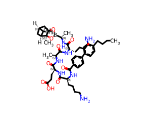 CCCCc1ccc(-c2ccc(C(=O)N[C@@H](CCCCN)C(=O)N[C@@H](CCC(=O)O)C(=O)N[C@@H](C)C(=O)N[C@@H](CCCCN)C(=O)N[C@@H](C)B3OC4C[C@@H]5C[C@@H](C5(C)C)[C@]4(C)O3)cc2)cc1